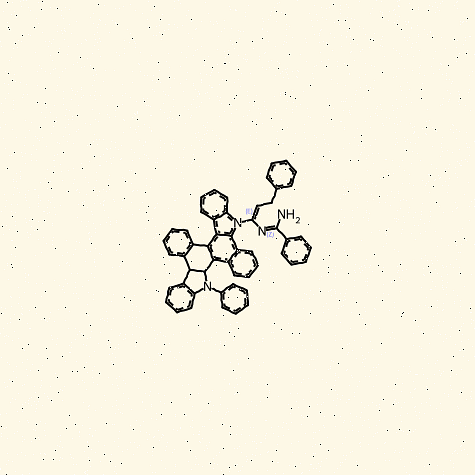 N/C(=N\C(=C/Cc1ccccc1)n1c2ccccc2c2c3c(c4ccccc4c21)C1C(c2ccccc2-3)c2ccccc2N1c1ccccc1)c1ccccc1